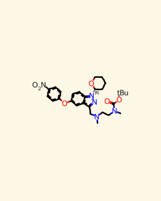 CN(CCN(C)C(=O)OC(C)(C)C)Cc1nn([C@H]2CCCCO2)c2ccc(Oc3ccc([N+](=O)[O-])cc3)cc12